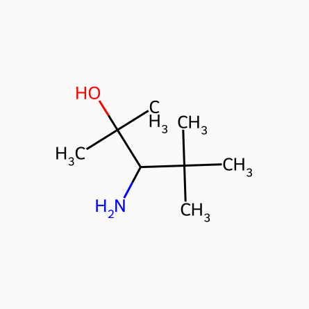 CC(C)(C)C(N)C(C)(C)O